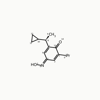 CC(C)C1=CC(=NO)C=C([C@H](C)C2CC2)C1=O